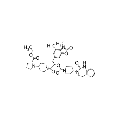 CCOC(=O)[C@@H]1CCCN1C1CCN(C(=O)[C@@H](Cc2cc(C)c3c(c2)oc(=O)n3C)OC(=O)N2CCC(N3CCc4ccccc4NC3=O)CC2)CC1